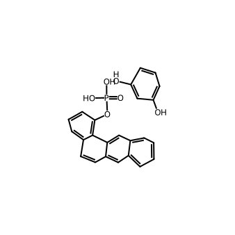 O=P(O)(O)Oc1cccc2ccc3cc4ccccc4cc3c12.Oc1cccc(O)c1